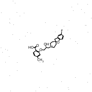 Cc1ccc(C(=O)O)c(OC[C@@H](O)CN2CCC3(CC2)Cc2cc(F)ccc2O3)c1